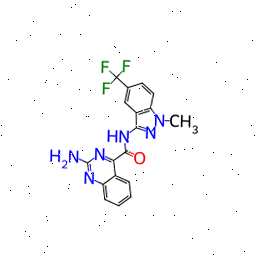 Cn1nc(NC(=O)c2nc(N)nc3ccccc23)c2cc(C(F)(F)F)ccc21